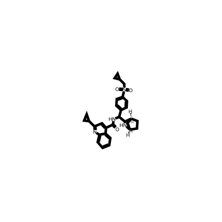 O=C(NC(c1ccc(S(=O)(=O)CC2CC2)cc1)C1N[C@@H]2CC[C@H]1C2)c1cc(C2CC2)nc2ccccc12